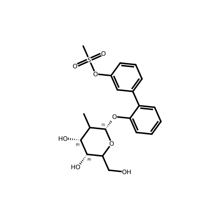 CC1[C@H](Oc2ccccc2-c2cccc(OS(C)(=O)=O)c2)OC(CO)[C@H](O)[C@@H]1O